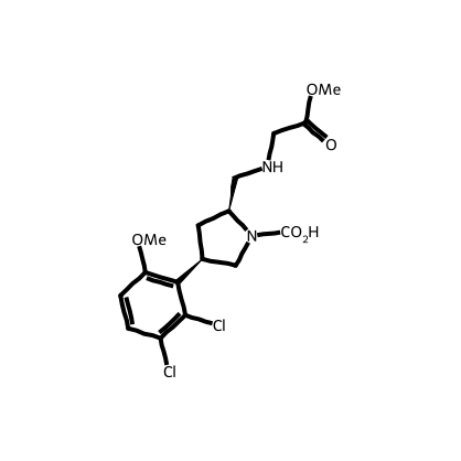 COC(=O)CNC[C@@H]1C[C@H](c2c(OC)ccc(Cl)c2Cl)CN1C(=O)O